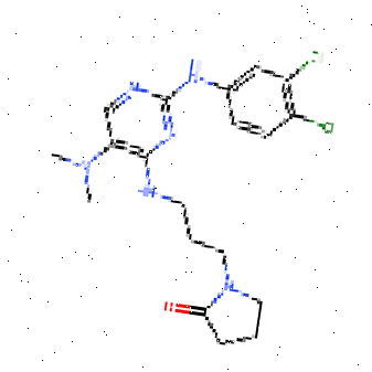 CN(C)c1cnc(Nc2ccc(Cl)c(Cl)c2)nc1NCCCN1CCCC1=O